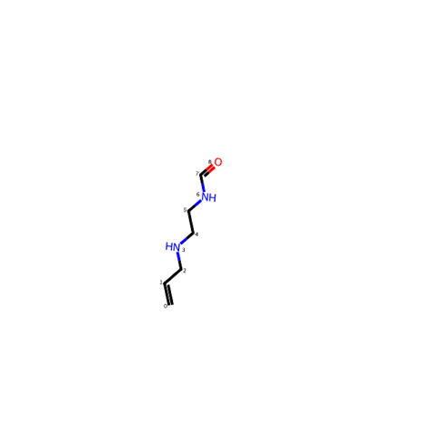 C=CCNCCNC=O